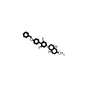 CC1CC[C@@H]2C[C@H](c3cc(F)c(-c4ccc(OCc5ccccc5)cc4)c(F)c3)CC[C@@H]2C1